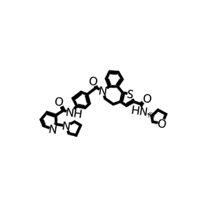 O=C(N[C@@H]1CCOC1)c1cc2c(s1)-c1ccccc1N(C(=O)c1ccc(NC(=O)c3cccnc3N3CCCC3)cc1)CC2